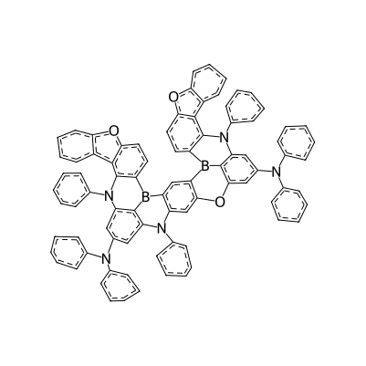 c1ccc(N(c2ccccc2)c2cc3c4c(c2)N(c2ccccc2)c2c(ccc5oc6ccccc6c25)B4c2cc4c(cc2O3)N(c2ccccc2)c2cc(N(c3ccccc3)c3ccccc3)cc3c2B4c2ccc4oc5ccccc5c4c2N3c2ccccc2)cc1